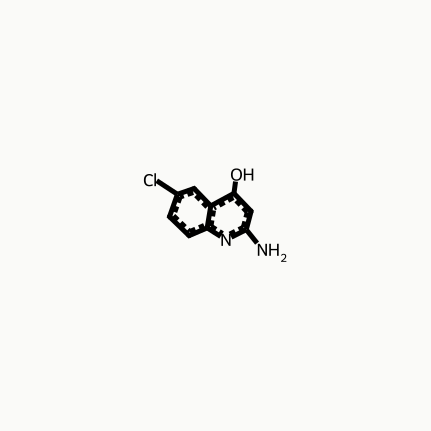 Nc1cc(O)c2cc(Cl)ccc2n1